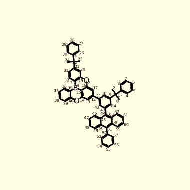 CC(C)(c1ccccc1)c1cc(-c2cc3c4c(c2)Oc2cc(C(C)(C)c5ccccc5)ccc2B4c2ccccc2O3)cc(-c2c3ccccc3c(-c3ccccc3)c3ccccc23)c1